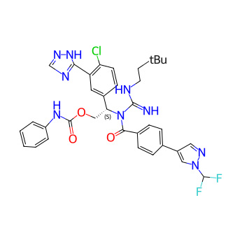 CC(C)(C)CCNC(=N)N(C(=O)c1ccc(-c2cnn(C(F)F)c2)cc1)[C@H](COC(=O)Nc1ccccc1)c1ccc(Cl)c(-c2ncn[nH]2)c1